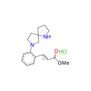 COC(=O)/C=C/c1ccccc1N1CCC2(CCCN2)C1.Cl